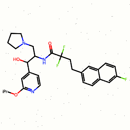 CC(C)Oc1cc(C(O)C(CN2CCCC2)NC(=O)C(F)(F)CCc2ccc3cc(F)ccc3c2)ccn1